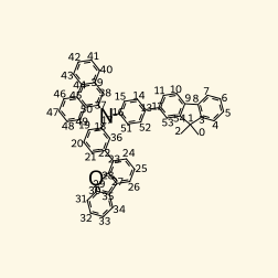 CC1(C)c2ccccc2-c2ccc(-c3ccc(N(c4cccc(-c5cccc6c5oc5ccccc56)c4)c4cc5ccccc5c5ccccc45)cc3)cc21